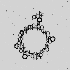 CC[C@H](C)[C@@H]1NC(=O)[C@H](CC2CCCCC2)N(C)C(=O)C[C@@H](C(=O)N2CCCCC2)N(C)C(=O)[C@H](C(C)C)N(C)C(=O)C2(CCCC2)NC(=O)[C@@H]2CCCN2C(=O)[C@H](CCc2ccc(C(F)(F)F)c(Cl)c2)NC(=O)CN(C)C(=O)[C@H](CC2CCCCC2)N(C)C(=O)CN(C)C(=O)CN(C)C1=O